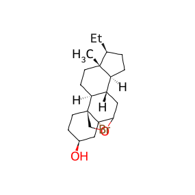 CC[C@H]1CC[C@H]2[C@@H]3CC4OC[C@@]5(CC[C@H](O)C[C@]45Br)[C@H]3CC[C@]12C